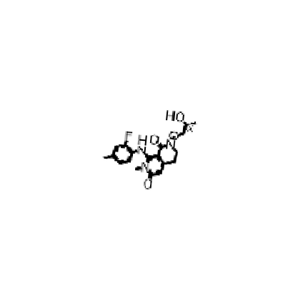 Cc1ccc(Nc2c3c(cc(=O)n2C)CCN(OC[C@H](C)O)C3=O)c(F)c1